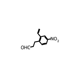 C=Cc1cc([N+](=O)[O-])ccc1CCC=O